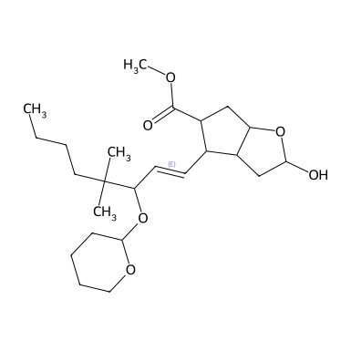 CCCCC(C)(C)C(/C=C/C1C(C(=O)OC)CC2OC(O)CC21)OC1CCCCO1